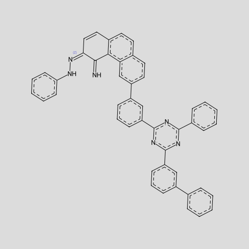 N=C1/C(=N\Nc2ccccc2)C=Cc2ccc3ccc(-c4cccc(-c5nc(-c6ccccc6)nc(-c6cccc(-c7ccccc7)c6)n5)c4)cc3c21